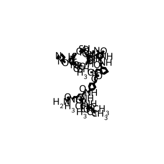 CC(C)[C@H](NC(=O)OC(C)(C)C)C(=O)N[C@@H](CCCNC(N)=O)C(=O)Nc1ccc(COC(=O)N(C)Cc2ccccc2C(=O)Nc2nc3c(ncn3[C@@H]3O[C@@H]4CO[P@@](=O)(S)O[C@H]5C[C@H](Oc6ccncn6)C[C@@H]5CCO[P@@](=O)(S)O[C@@H]3[C@@H]4O)c(=O)[nH]2)cc1